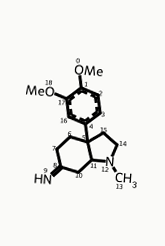 COc1ccc(C23CCC(=N)CC2N(C)CC3)cc1OC